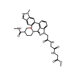 CNC(=O)C1CCN(c2nn(CC(=O)NCC(=O)NCC(=O)OC)c3cccc(-c4cc5c(cnn5C)cc4F)c23)CC1